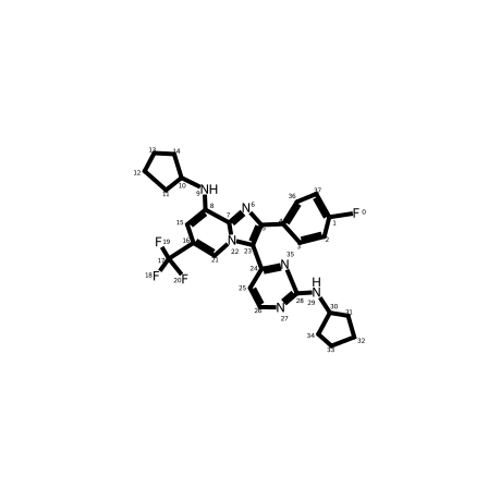 Fc1ccc(-c2nc3c(NC4CCCC4)cc(C(F)(F)F)cn3c2-c2ccnc(NC3CCCC3)n2)cc1